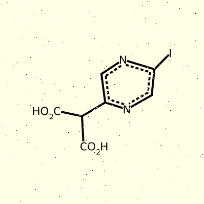 O=C(O)C(C(=O)O)c1cnc(I)cn1